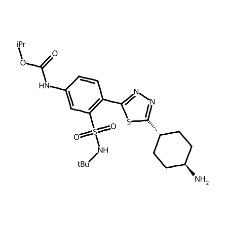 CC(C)OC(=O)Nc1ccc(-c2nnc([C@H]3CC[C@H](N)CC3)s2)c(S(=O)(=O)NC(C)(C)C)c1